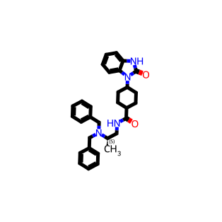 C[C@@H](CNC(=O)C1CCC(n2c(=O)[nH]c3ccccc32)CC1)N(Cc1ccccc1)Cc1ccccc1